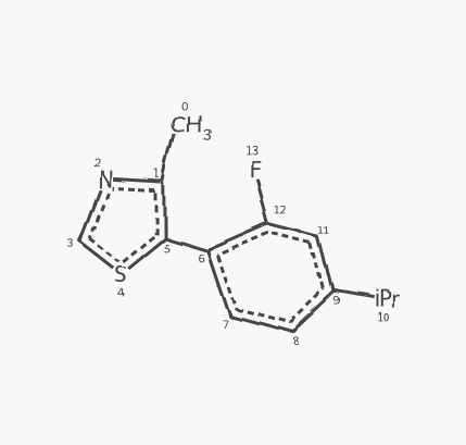 Cc1ncsc1-c1ccc(C(C)C)cc1F